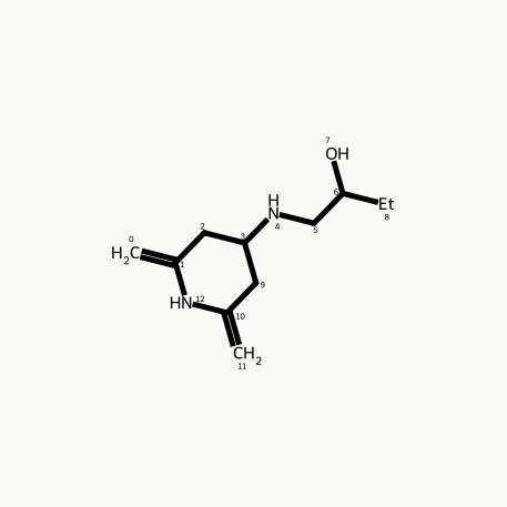 C=C1CC(NCC(O)CC)CC(=C)N1